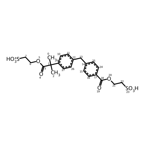 CC(C)(C(=O)OCCS(=O)(=O)O)c1ccc(Cc2ccc(C(=O)OCCS(=O)(=O)O)cc2)cc1